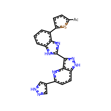 CC(=O)c1ccc(-c2cccc3[nH]c(-c4n[nH]c5ccc(-c6cn[nH]c6)nc45)nc23)s1